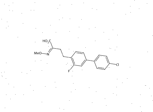 CON=C(CCc1ccc(-c2ccc(Cl)cc2)cc1F)C(=O)O